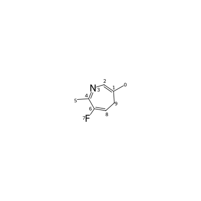 CC1=CN=C(C)C(F)=CC1